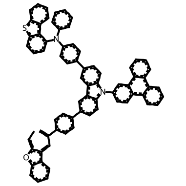 C=C(/C=c1\c(=C/C)oc2ccccc12)c1ccc(-c2ccc3c(c2)c2cc(-c4ccc(N(c5ccccc5)c5cccc6sc7ccccc7c56)cc4)ccc2n3-c2ccc3c4ccccc4c4ccccc4c3c2)cc1